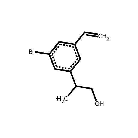 [CH2]C(CO)c1cc(Br)cc(C=C)c1